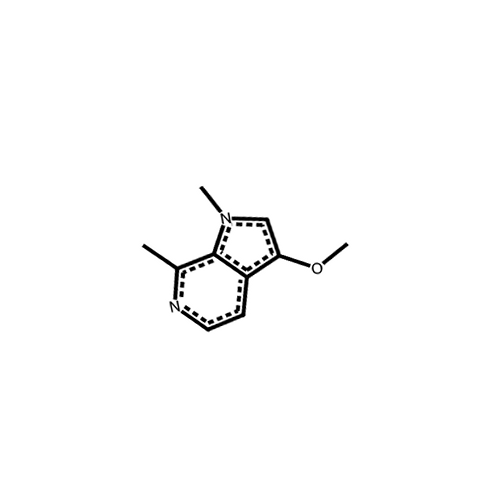 COc1cn(C)c2c(C)nccc12